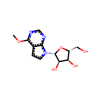 COc1ncnc2c1ccn2[C@@H]1O[C@H](CO)[C@@H](O)[C@H]1O